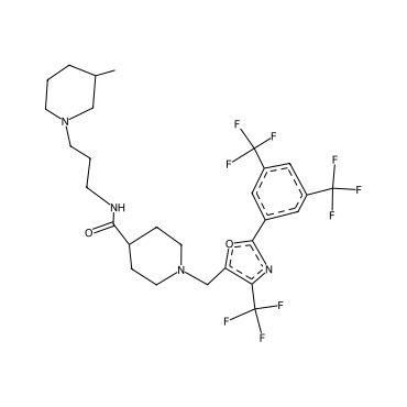 CC1CCCN(CCCNC(=O)C2CCN(Cc3oc(-c4cc(C(F)(F)F)cc(C(F)(F)F)c4)nc3C(F)(F)F)CC2)C1